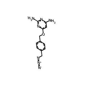 [N-]=[N+]=NCc1ccc(COc2cc(N)nc(N)n2)cc1